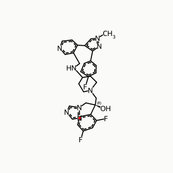 Cn1cc(-c2ccncc2CNC2CCN(C[C@@](O)(Cn3cncn3)c3ccc(F)cc3F)CC2)c(-c2ccc(F)cc2)n1